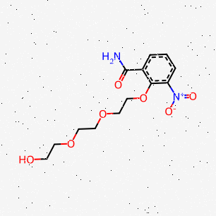 NC(=O)c1cccc([N+](=O)[O-])c1OCCOCCOCCO